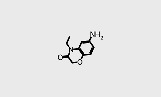 CCN1C(=O)COc2ccc(N)cc21